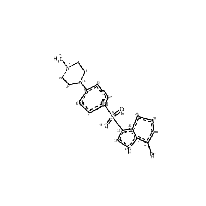 CN1CCN(c2ccc(S(=O)(=O)c3c[nH]c4c(Br)cccc34)cc2)CC1